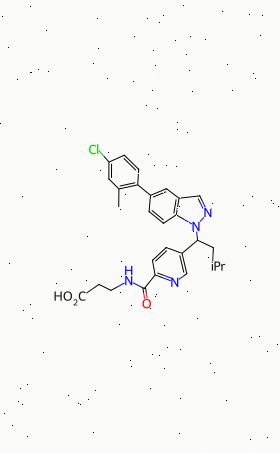 Cc1cc(Cl)ccc1-c1ccc2c(cnn2C(CC(C)C)c2ccc(C(=O)NCCC(=O)O)nc2)c1